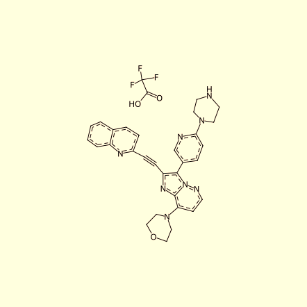 C(#Cc1nc2c(N3CCOCC3)ccnn2c1-c1ccc(N2CCNCC2)nc1)c1ccc2ccccc2n1.O=C(O)C(F)(F)F